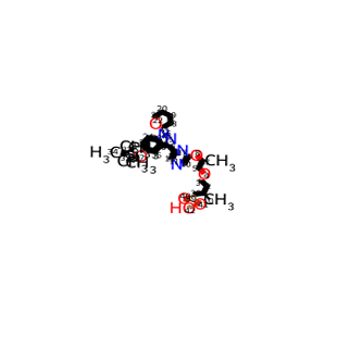 C[C@H](CCOC[C@H](C)Oc1cncc(-c2nn(C3CCCCO3)c3ccc(O[Si](C)(C)C(C)(C)C)cc23)n1)CS(=O)(=O)O